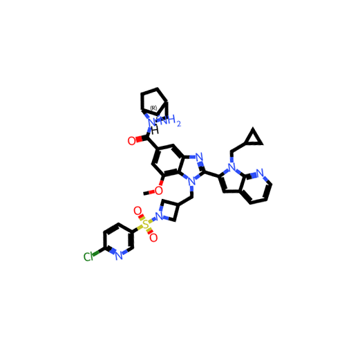 COc1cc(C(=O)N2CC3CCC2[C@@H]3N)cc2nc(-c3cc4cccnc4n3CC3CC3)n(CC3CN(S(=O)(=O)c4ccc(Cl)nc4)C3)c12